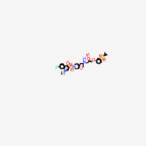 CCn1cc(S(=O)(=O)N2CCC3(CC2)CC(NCC(O)COc2cccc(S(=O)(=O)C4CC4)c2)CO3)c(=O)c2ccc(F)cc21